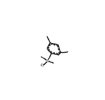 Cc1cc(C)cc([Si](C)(C)Cl)c1